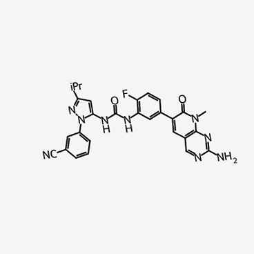 CC(C)c1cc(NC(=O)Nc2cc(-c3cc4cnc(N)nc4n(C)c3=O)ccc2F)n(-c2cccc(C#N)c2)n1